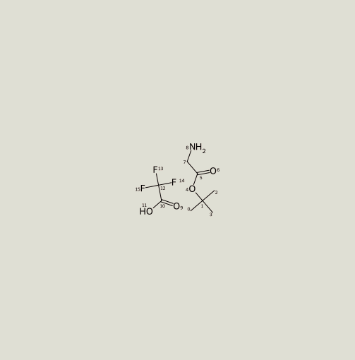 CC(C)(C)OC(=O)CN.O=C(O)C(F)(F)F